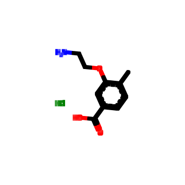 Cc1ccc(C(=O)O)cc1OCCN.Cl